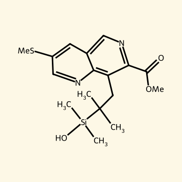 COC(=O)c1ncc2cc(SC)cnc2c1CC(C)(C)[Si](C)(C)O